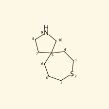 C1CSCCC2(C1)CCNC2